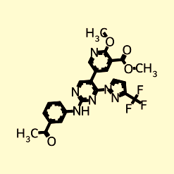 COC(=O)c1cc(-c2cnc(Nc3cccc(C(C)=O)c3)nc2-n2ccc(C(F)(F)F)n2)cnc1OC